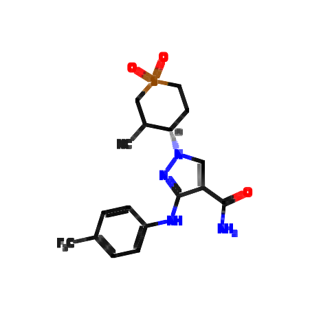 N#CC1CS(=O)(=O)CC[C@@H]1n1cc(C(N)=O)c(Nc2ccc(C(F)(F)F)cc2)n1